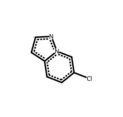 Clc1ccc2c[c]nn2c1